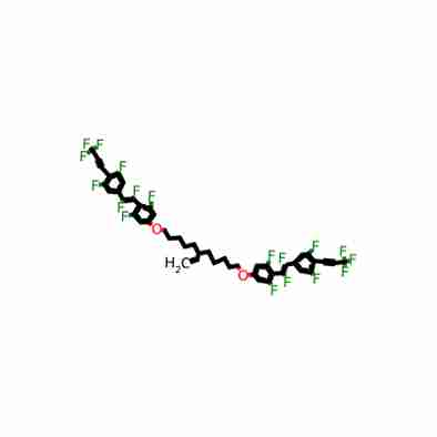 C=CC(CCCCCOc1cc(F)c(/C(F)=C(\F)c2cc(F)c(C#CC(F)(F)F)c(F)c2)c(F)c1)CCCCCOc1cc(F)c(/C(F)=C(\F)c2cc(F)c(C#CC(F)(F)F)c(F)c2)c(F)c1